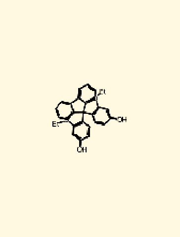 CCOc1cc(O)ccc1C1(c2ccc(O)cc2OCC)c2ccccc2-c2ccccc21